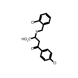 O=C(CC(SCc1ccccc1Cl)C(=O)O)c1ccc(Cl)cc1